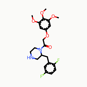 COc1cc(OCC(=O)N2CCNCC2Cc2cc(F)ccc2F)cc(OC)c1OC